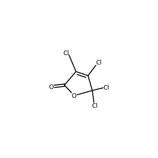 O=C1OC(Cl)(Cl)C(Cl)=C1Cl